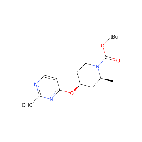 C[C@H]1C[C@@H](Oc2ccnc(C=O)n2)CCN1C(=O)OC(C)(C)C